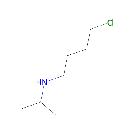 CC(C)NCCCCCl